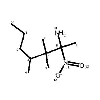 CCCC(C)C(C)(C)C(C)(N)[N+](=O)[O-]